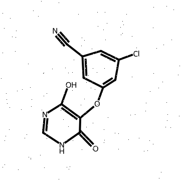 N#Cc1cc(Cl)cc(Oc2c(O)nc[nH]c2=O)c1